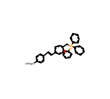 CCCCCCCc1ccc(C=Cc2ccc(C[PH](c3ccccc3)(c3ccccc3)c3ccccc3)cc2)cc1